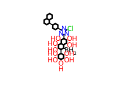 Bc1c(-c2c(O)c(O)c(O)c(O)c2O)c(O)c(O)c2c(O)c(-c3nc(Cl)nc(-c4ccc(-c5cccc6ccccc56)cc4)n3)c(O)c(O)c12